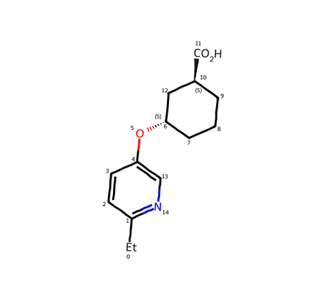 CCc1ccc(O[C@H]2CCC[C@H](C(=O)O)C2)cn1